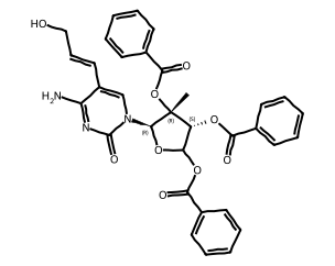 C[C@@]1(OC(=O)c2ccccc2)[C@H](OC(=O)c2ccccc2)C(OC(=O)c2ccccc2)O[C@H]1n1cc(C=CCO)c(N)nc1=O